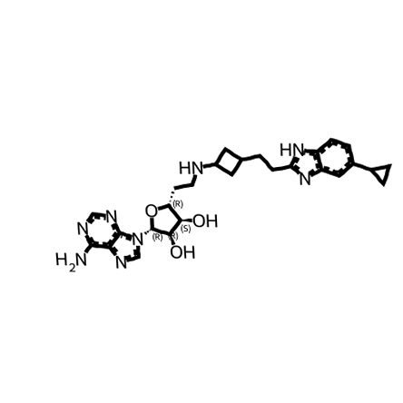 Nc1ncnc2c1ncn2[C@@H]1O[C@H](CCNC2CC(CCc3nc4cc(C5CC5)ccc4[nH]3)C2)[C@@H](O)[C@H]1O